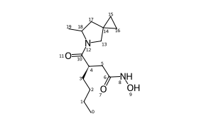 CCCC[C@H](CC(=O)NO)C(=O)N1CC2(CC2)CC1C